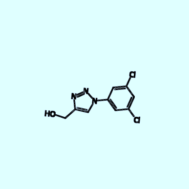 OCc1cn(-c2cc(Cl)cc(Cl)c2)nn1